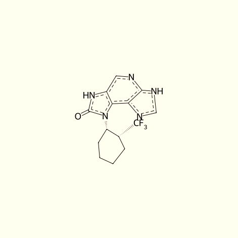 O=c1[nH]c2cnc3[nH]cnc3c2n1[C@H]1CCCC[C@H]1C(F)(F)F